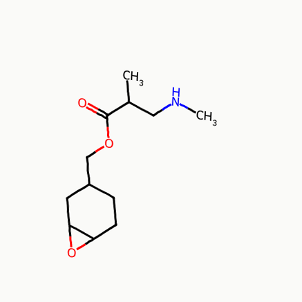 CNCC(C)C(=O)OCC1CCC2OC2C1